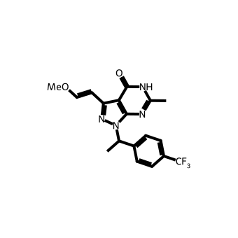 COC=Cc1nn(C(C)c2ccc(C(F)(F)F)cc2)c2nc(C)[nH]c(=O)c12